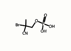 CC(Br)(C#N)COP(=O)(O)O